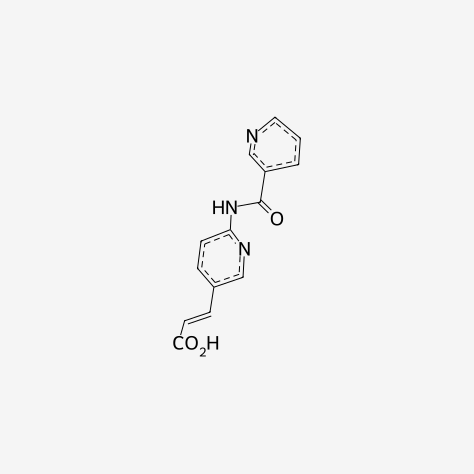 O=C(O)/C=C/c1ccc(NC(=O)c2cccnc2)nc1